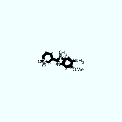 COc1cc2nc(C3CCCS(=O)(=O)C3)n(C)c2cc1N